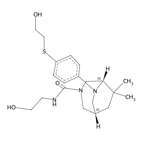 CC1(C)C[C@@H]2CN(C(=O)NCCO)C[C@H]1N(c1ccc(SCCO)cc1)C2